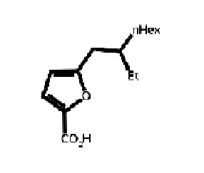 CCCCCCC(CC)Cc1ccc(C(=O)O)o1